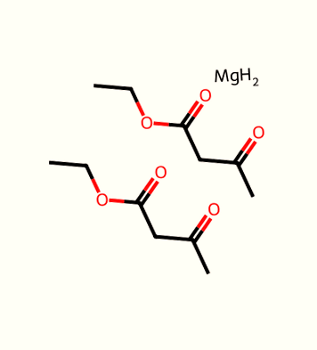 CCOC(=O)CC(C)=O.CCOC(=O)CC(C)=O.[MgH2]